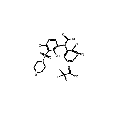 NC(=O)N(c1ccc(Cl)c(S(=O)(=O)N2CCNCC2)c1O)c1cccc(Cl)c1Cl.O=C(O)C(F)(F)F